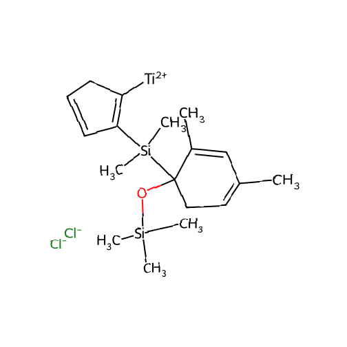 CC1=CCC(O[Si](C)(C)C)([Si](C)(C)C2=[C]([Ti+2])CC=C2)C(C)=C1.[Cl-].[Cl-]